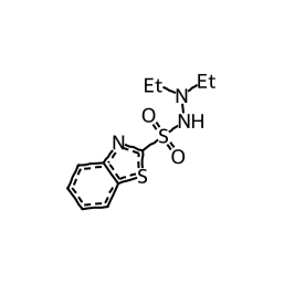 CCN(CC)NS(=O)(=O)c1nc2ccccc2s1